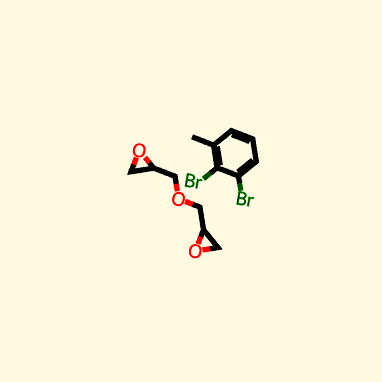 C(OCC1CO1)C1CO1.Cc1cccc(Br)c1Br